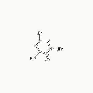 CCc1cc(Br)cn(C(C)C)c1=O